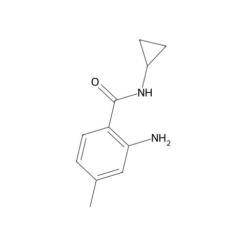 Cc1ccc(C(=O)NC2CC2)c(N)c1